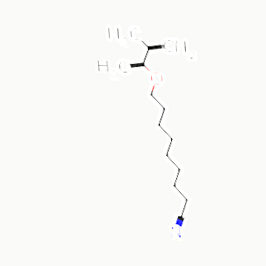 C=C(C)C(=C)OCCCCCCCCC#N